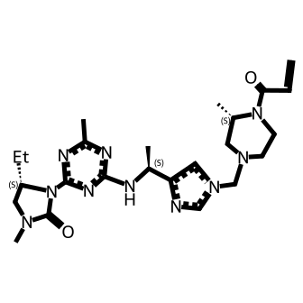 C=CC(=O)N1CCN(Cn2cnc([C@H](C)Nc3nc(C)nc(N4C(=O)N(C)C[C@@H]4CC)n3)c2)C[C@@H]1C